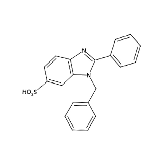 O=S(=O)(O)c1ccc2nc(-c3ccccc3)n(Cc3ccccc3)c2c1